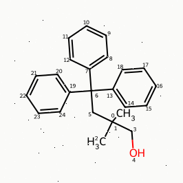 CC(C)(CO)CC(c1ccccc1)(c1ccccc1)c1ccccc1